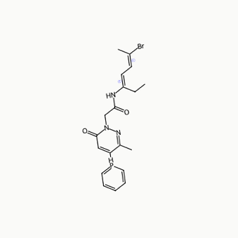 CC/C(=C\C=C(/C)Br)NC(=O)Cn1nc(C)c([PH]2=CC=CC=C2)cc1=O